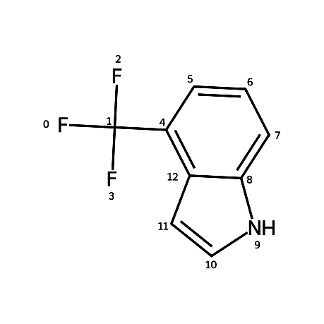 FC(F)(F)c1cccc2[nH]ccc12